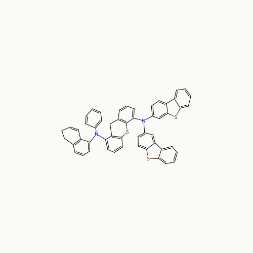 C1=Cc2c(cccc2N(c2ccccc2)c2cccc3c2Cc2cccc(N(c4ccc5c(c4)sc4ccccc45)c4ccc5sc6ccccc6c5c4)c2S3)CC1